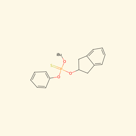 CCC(C)OP(=S)(Oc1ccccc1)OC1Cc2ccccc2C1